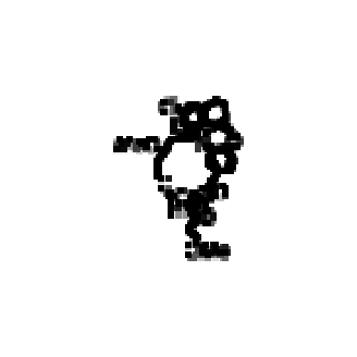 CC[C@@H]1C[C@@H](OC)CCCCC[S@@](=O)(NC(=O)CCOC)=NC(=O)c2ccc3c(c2)N(C1)C[C@@]1(CCCc2cc(Cl)ccc21)CO3